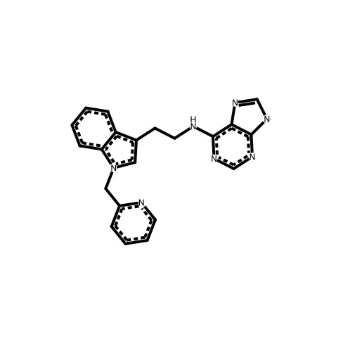 C1=Nc2c(ncnc2NCCc2cn(Cc3ccccn3)c3ccccc23)[N]1